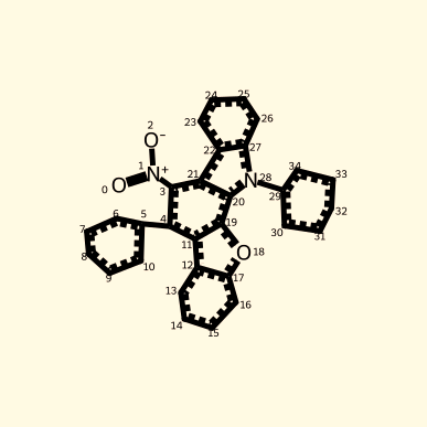 O=[N+]([O-])c1c(-c2ccccc2)c2c3ccccc3oc2c2c1c1ccccc1n2-c1ccccc1